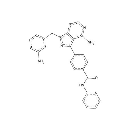 Nc1cccc(Cn2nc(-c3ccc(C(=O)Nc4ccccn4)cc3)c3c(N)ncnc32)c1